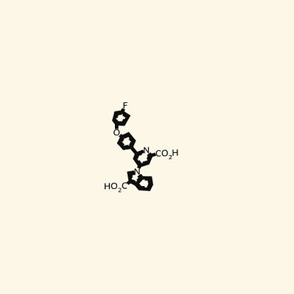 O=C(O)c1cc(-n2cc(C(=O)O)c3ccccc32)cc(-c2ccc(Oc3ccc(F)cc3)cc2)n1